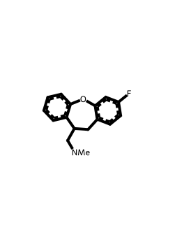 CNCC1Cc2ccc(F)cc2Oc2ccccc21